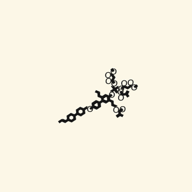 C=C(C)C(=O)OCCCc1cc(-c2ccc(OCC3CCC(C4CCC(/C=C/C)CC4)CC3)cc2)c(CCC)cc1OCC(COC(=O)CC(=O)OC)(COC(=O)CC(=O)OC)COC(=O)C(=C)C